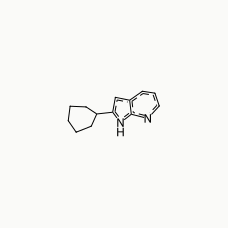 c1cnc2[nH]c(C3CCCCC3)cc2c1